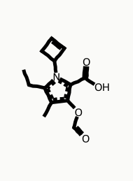 CCc1c(C)c(OC=O)c(C(=O)O)n1C1C=CC1